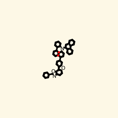 c1ccc(-c2nc3ccc4oc5cc(-c6ccc(N(c7ccccc7-c7ccccc7)c7cc8ccccc8c8ccccc78)cc6)ccc5c4c3o2)cc1